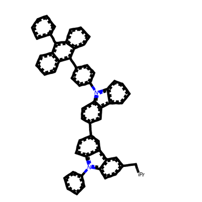 CC(C)Cc1ccc2c(c1)c1cc(-c3ccc4c(c3)c3ccccc3n4-c3ccc(-c4c5ccccc5c(-c5ccccc5)c5ccccc45)cc3)ccc1n2-c1ccccc1